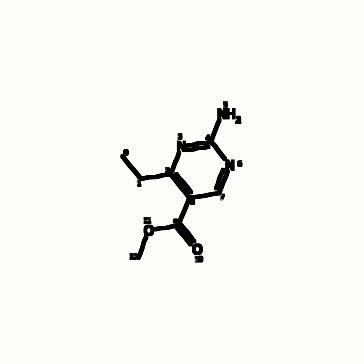 CCc1nc(N)ncc1C(=O)OC